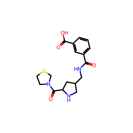 O=C(O)c1cccc(C(=O)NCC2CNC(C(=O)N3CCSC3)C2)c1